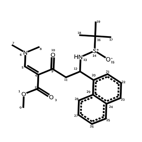 COC(=O)/C(=C/N(C)C)C(=O)CC(N[S+]([O-])C(C)(C)C)c1cccc2ccccc12